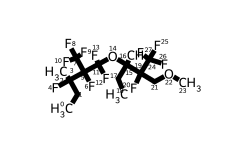 CCC(C)(F)C(F)(C(F)(F)F)C(F)(F)OC(C)(CC)C(F)(COC)C(F)(F)F